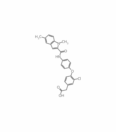 Cc1ccc2c(c1)cc(C(=O)Nc1ccc(Oc3ccc(CC(=O)O)cc3Cl)cc1)n2C